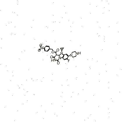 O=C1NC(=O)N2c3cc(F)c(N4CCNCC4)cc3N(C3CC3)C2C1C(=O)OCc1ccc([N+](=O)[O-])cc1